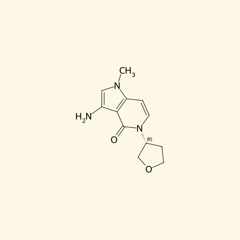 Cn1cc(N)c2c(=O)n([C@@H]3CCOC3)ccc21